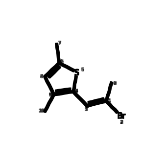 C/C(Br)=C\c1sc(C)cc1C